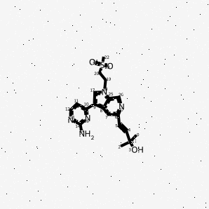 CC(C)(O)C#Cc1cc2c(-c3ccnc(N)n3)cn(CCS(C)(=O)=O)c2cn1